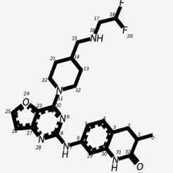 CC1Cc2ccc(Nc3nc(N4CCC(CNCC(F)F)CC4)c4occc4n3)cc2NC1=O